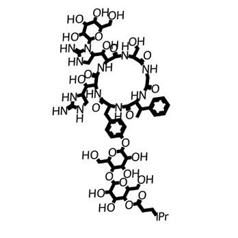 CC(C)CCC(=O)OC1C(CO)OC(OC2C(CO)OC(Oc3ccc(CC4NC(=O)C(C(C)c5ccccc5)NC(=O)CNC(=O)C(CO)NC(=O)C(C(O)C5CNC(=N)N5C5OC(CO)C(O)C(O)C5O)NC(=O)C(C(O)C5CNC(=N)N5)NC4=O)cc3)C(O)C2O)C(O)C1O